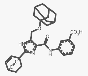 O=C(O)c1cccc(NC(=O)c2nc(C34C=CC(CC3)CC4)[nH]c2COC23CC4CC(CC(C4)C2)C3)c1